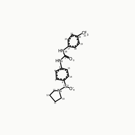 O=C(Nc1ccc([S+]([O-])N2CCCC2)cc1)Nc1ccc(C(F)(F)F)cc1